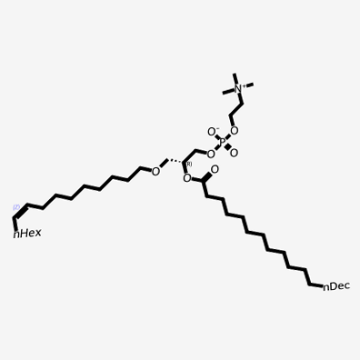 CCCCCC/C=C\CCCCCCCCOC[C@H](COP(=O)([O-])OCC[N+](C)(C)C)OC(=O)CCCCCCCCCCCCCCCCCCCCC